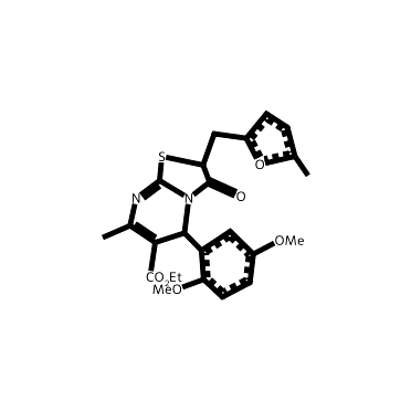 CCOC(=O)C1=C(C)N=C2SC(Cc3ccc(C)o3)C(=O)N2C1c1cc(OC)ccc1OC